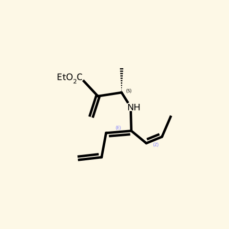 C=C/C=C(\C=C/C)N[C@@H](C)C(=C)C(=O)OCC